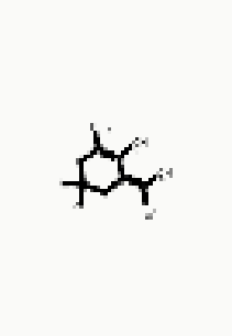 CC1(C)CC(N)=C(C#N)C(=C(C#N)C#N)C1